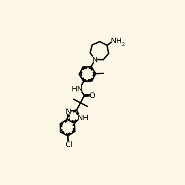 Cc1cc(NC(=O)C(C)(C)c2nc3ccc(Cl)cc3[nH]2)ccc1N1CCCC(N)CC1